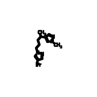 CC(C)c1cnn(CCCC(C)c2cnn(C)c2)c1